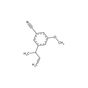 C=C[C](C)c1cc(C#N)cc(OC)c1